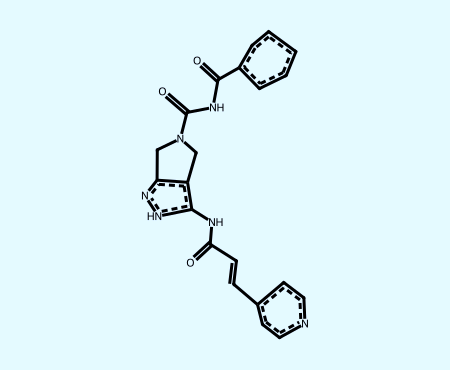 O=C(/C=C/c1ccncc1)Nc1[nH]nc2c1CN(C(=O)NC(=O)c1ccccc1)C2